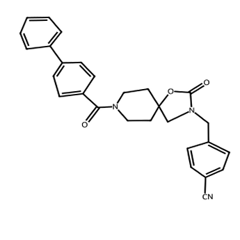 N#Cc1ccc(CN2CC3(CCN(C(=O)c4ccc(-c5ccccc5)cc4)CC3)OC2=O)cc1